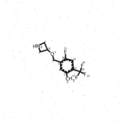 Cc1cc(COC2CNC2)c(F)cc1C(F)(F)F